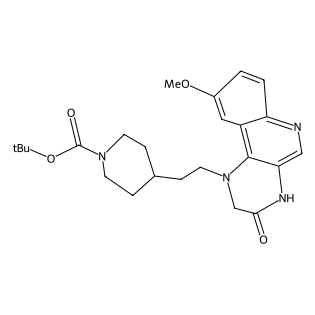 COc1ccc2ncc3c(c2c1)N(CCC1CCN(C(=O)OC(C)(C)C)CC1)CC(=O)N3